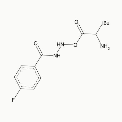 CCC(C)C(N)C(=O)ONNC(=O)c1ccc(F)cc1